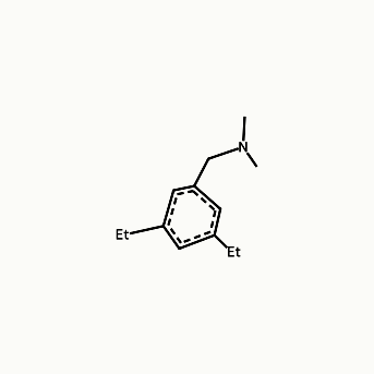 CCc1cc(CC)cc(CN(C)C)c1